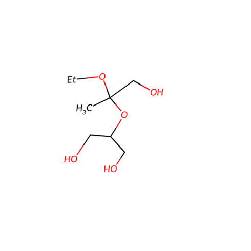 CCOC(C)(CO)OC(CO)CO